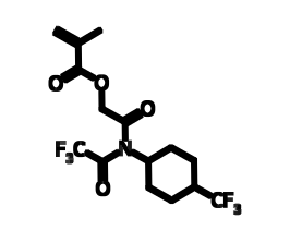 C=C(C)C(=O)OCC(=O)N(C(=O)C(F)(F)F)C1CCC(C(F)(F)F)CC1